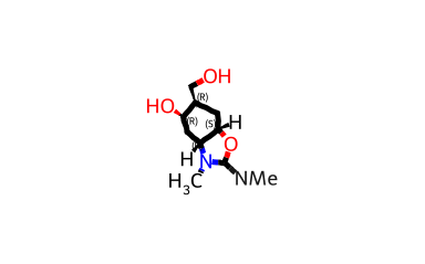 CNC1O[C@H]2C[C@H](CO)[C@H](O)C[C@H]2N1C